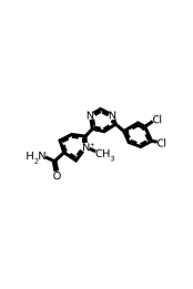 C[n+]1cc(C(N)=O)ccc1-c1cc(-c2ccc(Cl)c(Cl)c2)ncn1